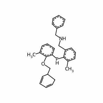 Cc1cccc(Pc2c(C)cccc2CNCc2ccccc2)c1OCC1C=CC=CC1